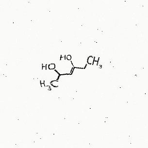 CCC(O)=CC(C)O